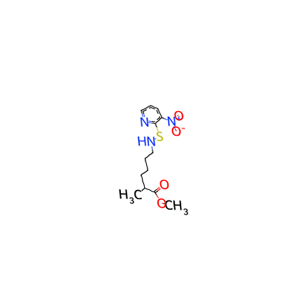 COC(=O)C(C)CCCCNSc1ncccc1[N+](=O)[O-]